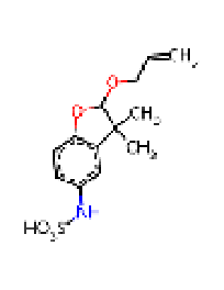 C=CCOC1Oc2ccc(NS(=O)(=O)O)cc2C1(C)C